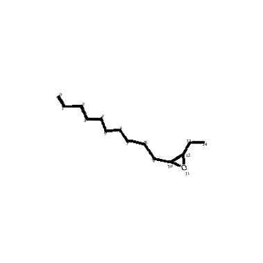 CCCCCCCCCCC1OC1CC